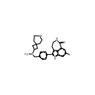 CN(Cc1ccc(-c2[nH]c3cc(F)cc4c3c2CCNC4=O)cc1)C1CC2(CCNCC2)C1